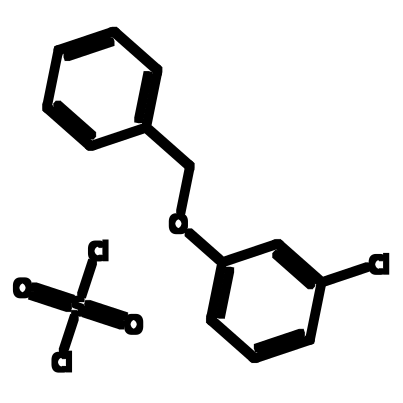 Clc1cccc(OCc2ccccc2)c1.O=S(=O)(Cl)Cl